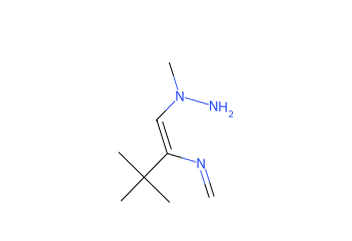 C=N/C(=C\N(C)N)C(C)(C)C